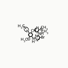 COc1cc(N2CCN(C)CC2)c(C)cc1Nc1ncc(Br)c(Nc2cccnc2N(C)C)n1